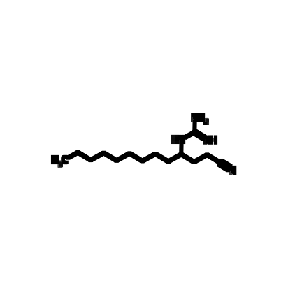 CCCCCCCCCC(CCC#N)NC(=N)N